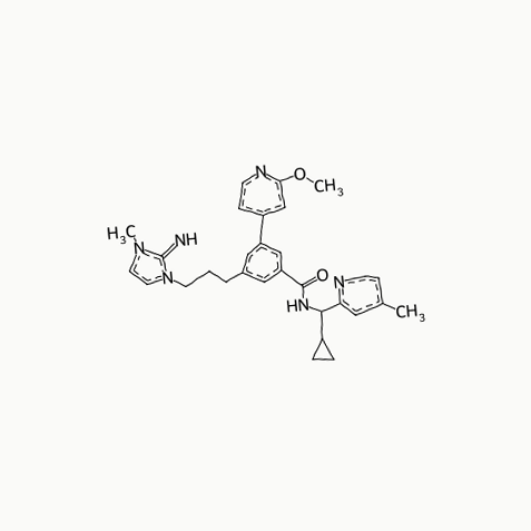 COc1cc(-c2cc(CCCn3ccn(C)c3=N)cc(C(=O)NC(c3cc(C)ccn3)C3CC3)c2)ccn1